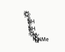 CNc1ncnc2c1ccn2C1CCC(CNCCCNCCc2ccccc2)C1